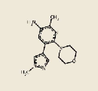 Cc1nc(N2CCOCC2)c(-c2cnn(C)c2)cc1N